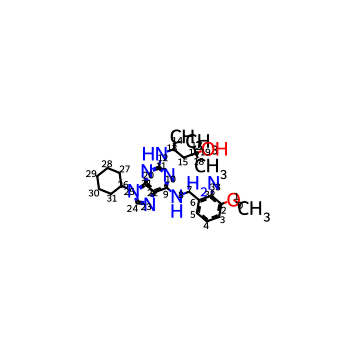 COc1cccc(CNc2nc(NC(C)CC(C)(C)O)nc3c2ncn3C2CCCCC2)c1N